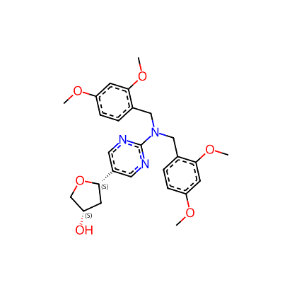 COc1ccc(CN(Cc2ccc(OC)cc2OC)c2ncc([C@@H]3C[C@H](O)CO3)cn2)c(OC)c1